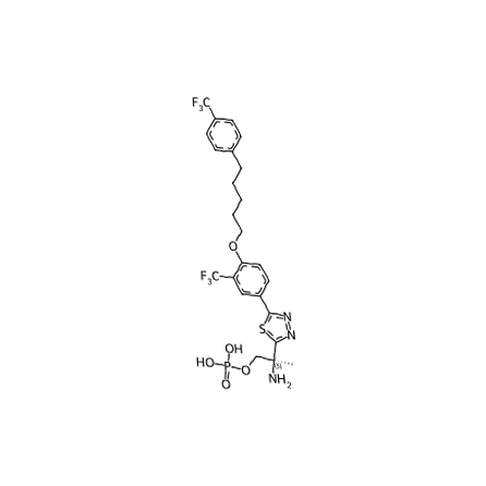 C[C@](N)(COP(=O)(O)O)c1nnc(-c2ccc(OCCCCCc3ccc(C(F)(F)F)cc3)c(C(F)(F)F)c2)s1